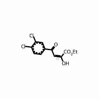 CCOC(=O)/C(O)=C\C(=O)c1ccc(Cl)c(Cl)c1